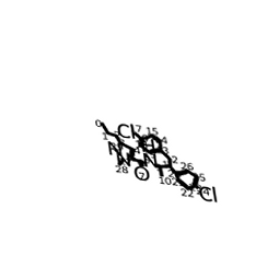 CCCc1cc(C(=O)NC(C)C(Cc2ccc(Cl)cc2)c2ccc(Cl)cc2)n(C)n1